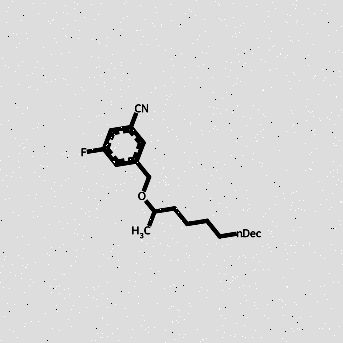 CCCCCCCCCCCCCCC(C)OCc1cc(F)cc(C#N)c1